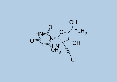 Cc1cc(=O)[nH]c(=O)n1[C@@H]1O[C@H]([C@H](C)O)[C@H](O)C1(N)C#CCl